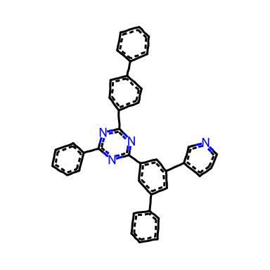 c1ccc(-c2ccc(-c3nc(-c4ccccc4)nc(-c4cc(-c5ccccc5)cc(-c5cccnc5)c4)n3)cc2)cc1